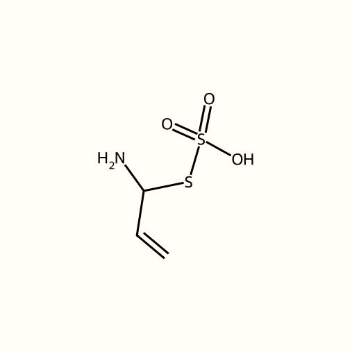 C=CC(N)SS(=O)(=O)O